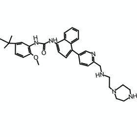 COc1ccc(C(C)(C)C)cc1NC(=O)Nc1ccc(-c2ccc(CNCCN3CCNCC3)nc2)c2ccccc12